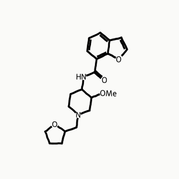 COC1CN(CC2CCCO2)CCC1NC(=O)c1cccc2ccoc12